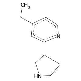 CCc1ccnc(C2CCNC2)c1